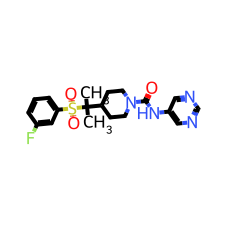 CC(C)(C1CCN(C(=O)Nc2cncnc2)CC1)S(=O)(=O)c1cccc(F)c1